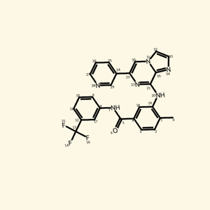 Cc1ccc(C(=O)Nc2cccc(C(F)(F)F)c2)cc1Nc1nc(-c2cccnc2)cn2ccnc12